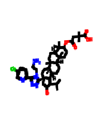 CC(C)C1=C2[C@H]3CC[C@@H]4[C@@]5(C)CC[C@H](OC(=O)CC(C)(C)C(=O)O)C(C)(C)[C@@H]5CC[C@@]4(C)[C@]3(C)CC[C@@]2(c2nnc(-c3ccc(Cl)cn3)n2CCN)CC1=O